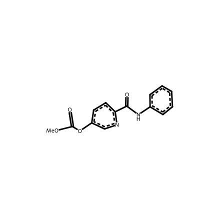 COC(=O)Oc1ccc(C(=O)Nc2ccccc2)nc1